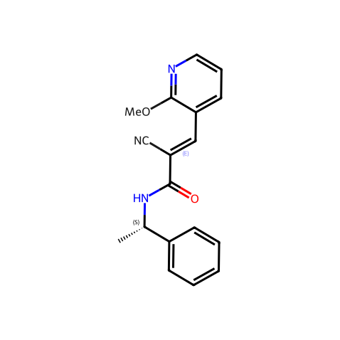 COc1ncccc1/C=C(\C#N)C(=O)N[C@@H](C)c1ccccc1